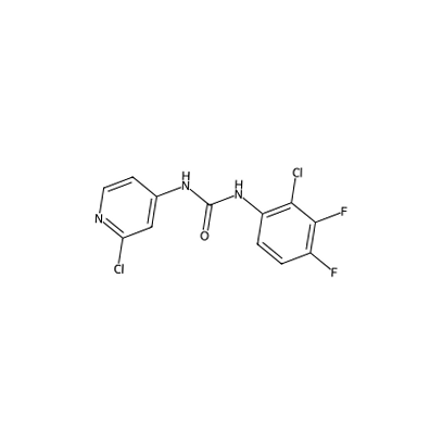 O=C(Nc1ccnc(Cl)c1)Nc1ccc(F)c(F)c1Cl